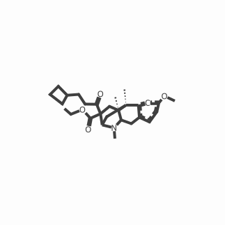 CCOC(=O)C1(C(=O)CCC2CCC2)C[C@]2(C)C3Cc4ccc(OC)cc4[C@]2(C)CC1N3C